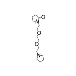 O=C1CCCN1CCOCCOCCN1CCCC1